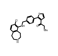 CC(C)(C)CC(=O)c1ccsc1-c1ccc(CNc2c(Cl)ccc3c2CCNCC3)cc1